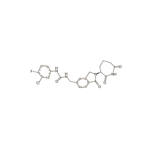 O=C1CCC[C@H](N2Cc3cc(CNC(=O)Nc4ccc(F)c(Cl)c4)ccc3C2=O)C(=O)N1